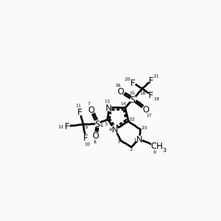 CN1CCn2c(S(=O)(=O)C(F)(F)F)nc(S(=O)(=O)C(F)(F)F)c2C1